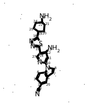 N#Cc1ccc2c(ccn2-c2cc(N)c(-c3nnc(C4CCC(N)CC4)s3)cn2)c1